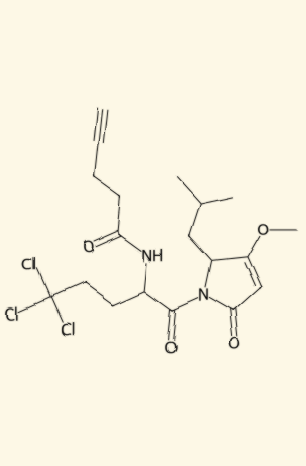 C#CCCC(=O)NC(CCC(Cl)(Cl)Cl)C(=O)N1C(=O)C=C(OC)C1CC(C)C